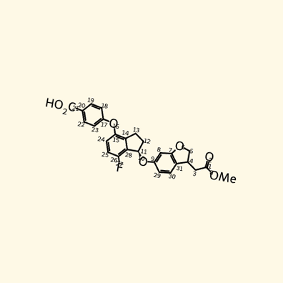 COC(=O)CC1COc2cc(O[C@@H]3CCc4c(Oc5ccc(C(=O)O)cc5)ccc(F)c43)ccc21